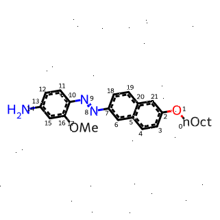 CCCCCCCCOc1ccc2cc(N=Nc3ccc(N)cc3OC)ccc2c1